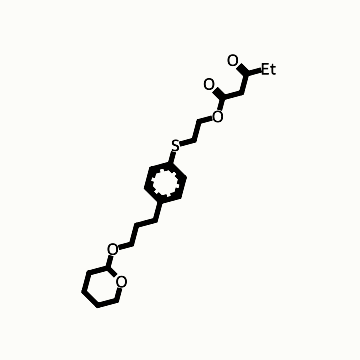 CCC(=O)CC(=O)OCCSc1ccc(CCCOC2CCCCO2)cc1